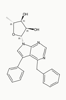 C[C@H]1O[C@@H](n2cc(-c3ccccc3)c3c(Cc4ccccc4)ncnc32)[C@H](O)[C@@H]1O